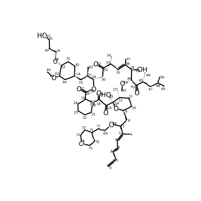 C=C/C=C/C=C(\C)C(C[C@@H]1CC[C@@H](C)[C@](O)(C(=O)C(=O)N2CCCCC2C(=O)O[C@@H](CC(=O)[C@H](C)/C=C(\C)[C@@H](O)[C@@H](OC)C(=O)[C@H](C)CC(C)C)[C@H](C)C[C@@H]2CC[C@@H](OCCCO)[C@H](OC)C2)O1)OCCC1CCOCC1